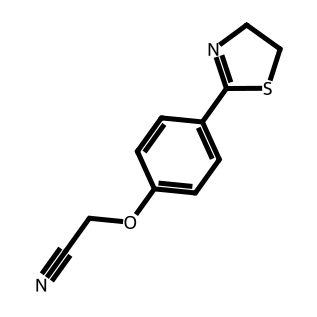 N#CCOc1ccc(C2=NCCS2)cc1